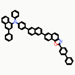 c1ccc(-c2ccc(-c3nc4ccc5cc(-c6ccc7cc(-c8ccc(N(c9ccccc9)c9cc(-c%10ccccc%10)cc%10ccccc9%10)cc8)ccc7c6)ccc5c4o3)cc2)cc1